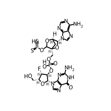 Nc1nc2c(ncn2[C@@H]2O[C@H](CO)[C@H](F)[C@H]2OP(=O)(O)OC[C@@]23C[C@@H](OC2O[PH](=S)S)[C@H](n2cnc4c(N)ncnc42)O3)c(=O)[nH]1